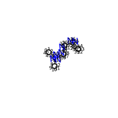 c1ccc(-c2nc(-c3ccccc3)nc(-c3cccc(-c4cc(-c5ncnc6c5Cc5ccccc5-6)ccn4)n3)n2)cc1